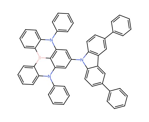 c1ccc(-c2ccc3c(c2)c2cc(-c4ccccc4)ccc2n3-c2cc3c4c(c2)N(c2ccccc2)c2ccccc2B4c2ccccc2N3c2ccccc2)cc1